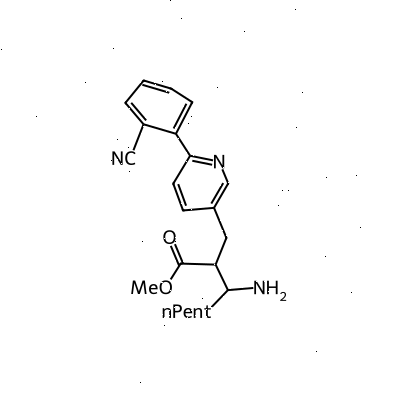 CCCCCC(N)C(Cc1ccc(-c2ccccc2C#N)nc1)C(=O)OC